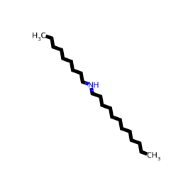 CCCCCCCCCCCCNCCCCCCCCC